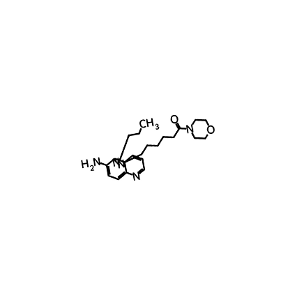 CCCC1N=C2C(N)=CC=C3N=CC=CC32N1CCCCCC(=O)N1CCOCC1